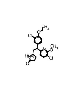 CCOc1ccc(C(C[C@H]2CCC(=O)N2)c2ccc(Cl)c(OC)n2)cc1Cl